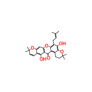 CC(C)=CCc1c(O)c2c(c3c(=O)c4c(O)c5c(cc4oc13)OC(C)(C)C=C5)CCC(C)(C)O2